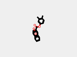 Cc1ccc(OC(=O)C2CC3C(=O)C2C2C4C=CC(C4=O)C32)cc1C